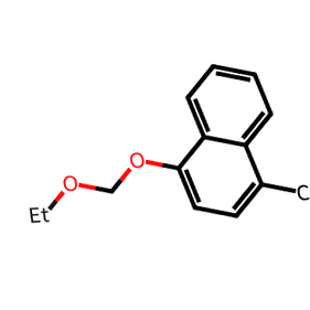 CCOCOc1ccc(C)c2ccccc12